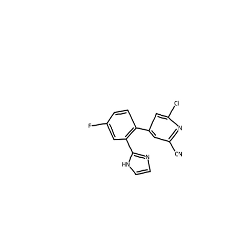 N#Cc1cc(-c2ccc(F)cc2-c2ncc[nH]2)cc(Cl)n1